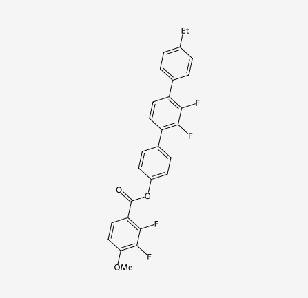 CCc1ccc(-c2ccc(-c3ccc(OC(=O)c4ccc(OC)c(F)c4F)cc3)c(F)c2F)cc1